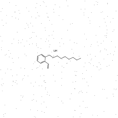 C=Cc1ccccc1CCCCCCCCC.[LiH]